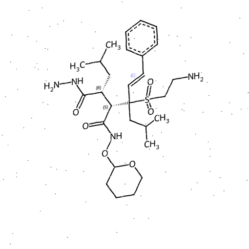 CC(C)C[C@@H](C(=O)NN)[C@@H](C(=O)NOC1CCCCO1)C(/C=C/c1ccccc1)(CC(C)C)S(=O)(=O)CCN